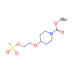 CC(C)(C)OC(=O)N1CCC(OCCOS(C)(=O)=O)CC1